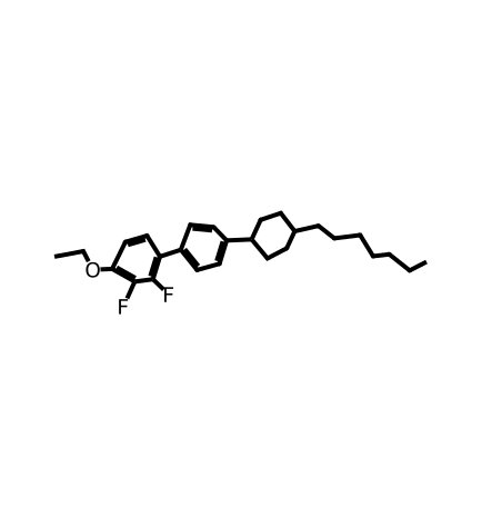 CCCCCCCC1CCC(c2ccc(-c3ccc(OCC)c(F)c3F)cc2)CC1